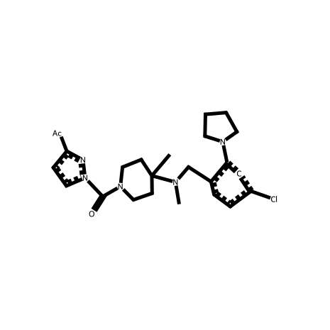 CC(=O)c1ccn(C(=O)N2CCC(C)(N(C)Cc3ccc(Cl)cc3N3CCCC3)CC2)n1